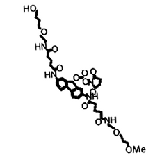 COCCCOCCNC(=O)CCCC(=O)Nc1ccc2c(c1)C(OC(=O)ON1C(=O)CCC1=O)c1cc(NC(=O)CCCC(=O)NCCOCCCCO)ccc1-2